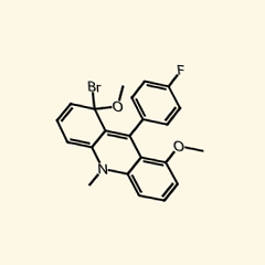 COc1cccc2c1C(c1ccc(F)cc1)=C1C(=CC=CC1(Br)OC)N2C